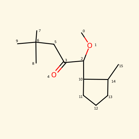 COC(C(=O)CC(C)(C)C)C1CCCC1C